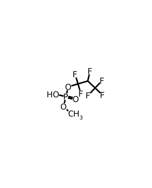 COP(=O)(O)OC(F)(F)C(F)C(F)(F)F